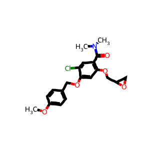 COc1ccc(COc2cc(OCC3CO3)c(C(=O)N(C)C)cc2Cl)cc1